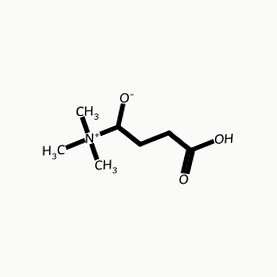 C[N+](C)(C)C([O-])CCC(=O)O